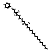 CCCCCCCCCCCCCCCCC(=O)NCCOCCNC(=O)CCSSc1ccccn1